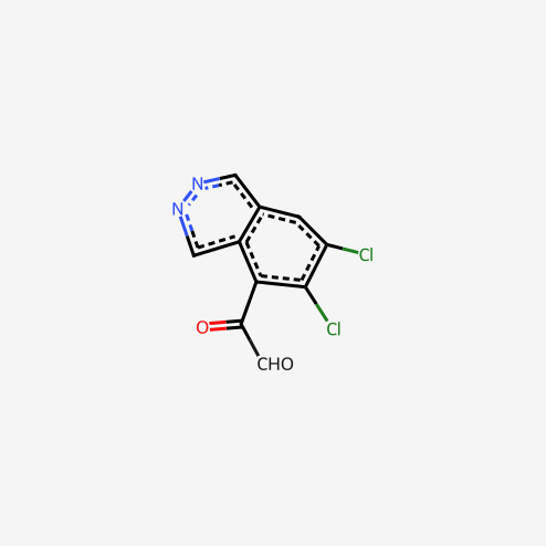 O=CC(=O)c1c(Cl)c(Cl)cc2cnncc12